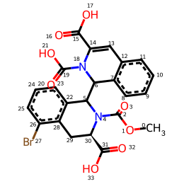 COC(=O)N1C(C2c3ccccc3C=C(C(=O)O)N2C(=O)O)c2cccc(Br)c2C[C@@H]1C(=O)O